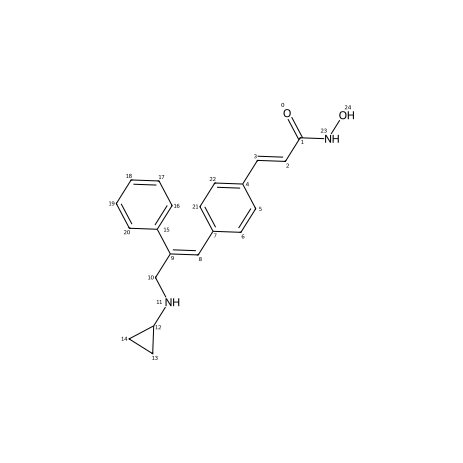 O=C(C=Cc1ccc(/C=C(/CNC2CC2)c2ccccc2)cc1)NO